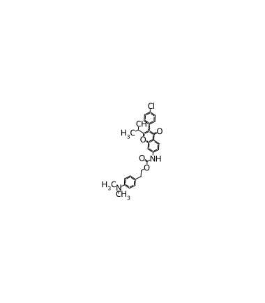 CC(C)c1oc2cc(NC(=O)OCCc3ccc(N(C)C)cc3)ccc2c(=O)c1-c1ccc(Cl)cc1